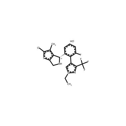 CCn1cc(-c2c(F)cccc2[C@@H]2NCc3sc(Cl)c(C)c32)c(C(F)(F)F)n1.Cl